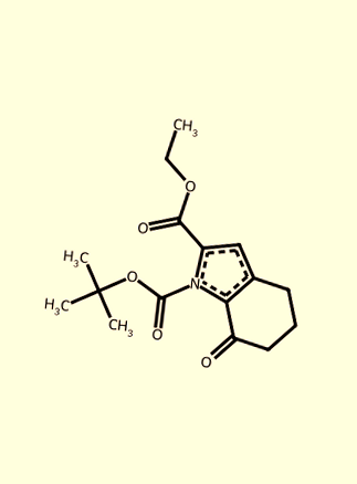 CCOC(=O)c1cc2c(n1C(=O)OC(C)(C)C)C(=O)CCC2